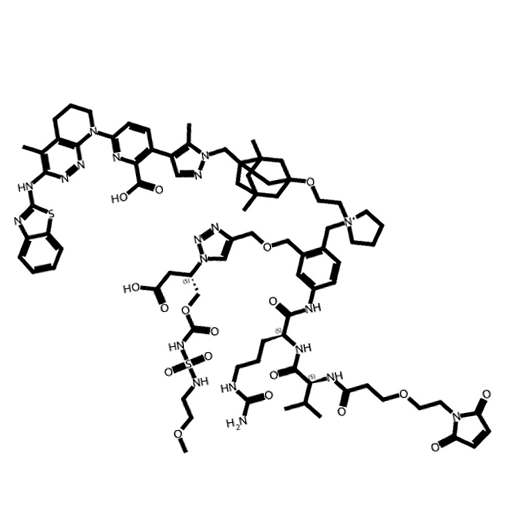 COCCNS(=O)(=O)NC(=O)OC[C@H](CC(=O)O)n1cc(COCc2cc(NC(=O)[C@H](CCCNC(N)=O)NC(=O)[C@@H](NC(=O)CCOCCN3C(=O)C=CC3=O)C(C)C)ccc2C[N+]2(CCOC34CC5(C)CC(C)(C3)C(Cn3ncc(-c6ccc(N7CCCc8c7nnc(Nc7nc9ccccc9s7)c8C)nc6C(=O)O)c3C)(C5)C4)CCCC2)nn1